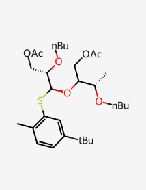 CCCCO[C@@H](C)C(COC(C)=O)O[C@@H](Sc1cc(C(C)(C)C)ccc1C)[C@H](COC(C)=O)OCCCC